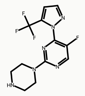 Fc1cnc(N2CCNCC2)nc1-n1nccc1C(F)(F)F